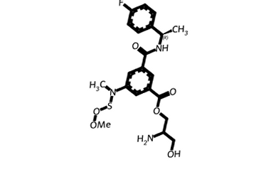 COOSN(C)c1cc(C(=O)N[C@H](C)c2ccc(F)cc2)cc(C(=O)OCC(N)CO)c1